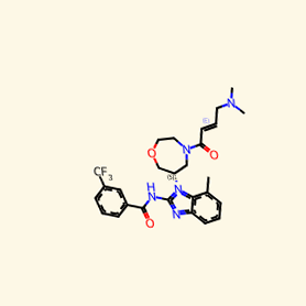 Cc1cccc2nc(NC(=O)c3cccc(C(F)(F)F)c3)n([C@@H]3COCCN(C(=O)/C=C/CN(C)C)C3)c12